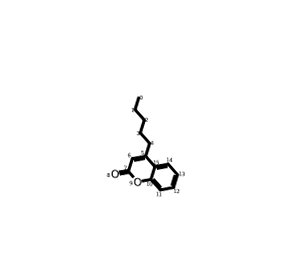 CCCCCc1cc(=O)oc2ccccc12